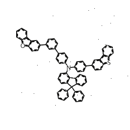 c1ccc(C2(c3ccccc3)c3ccccc3-c3c(N(c4ccc(-c5cccc(-c6ccc7oc8ccccc8c7c6)c5)cc4)c4ccc(-c5ccc6sc7ccccc7c6c5)cc4)cccc32)cc1